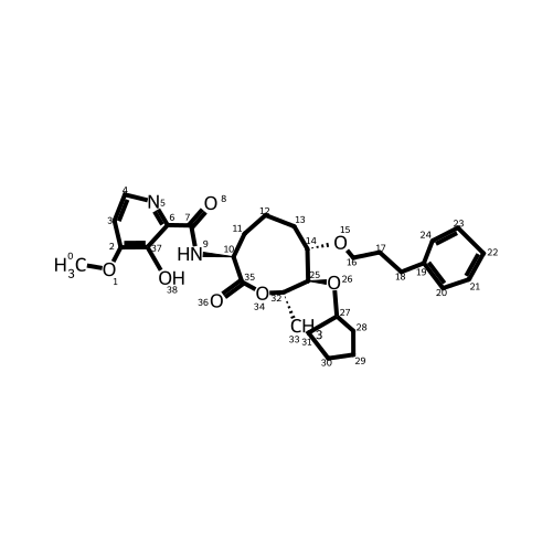 COc1ccnc(C(=O)N[C@H]2CCC[C@H](OCCCc3ccccc3)[C@@H](OC3CCCC3)[C@H](C)OC2=O)c1O